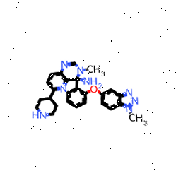 CN1C=Nc2ccc(C3CCNCC3)nc2C1(N)c1ccccc1Oc1ccc2c(c1)nnn2C